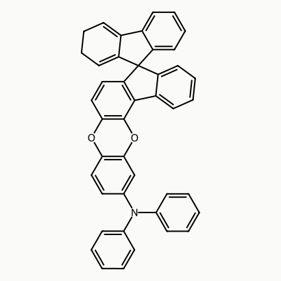 C1=C2C(=CCC1)C1(c3ccccc32)c2ccccc2-c2c1ccc1c2Oc2cc(N(c3ccccc3)c3ccccc3)ccc2O1